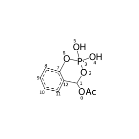 CC(=O)OC1O[P](O)(O)Oc2ccccc21